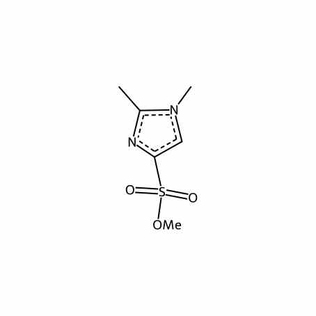 COS(=O)(=O)c1cn(C)c(C)n1